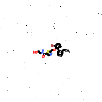 CCc1ccccc1-c1cccc(Br)c1OCc1ncc(C(=O)NCCO)s1